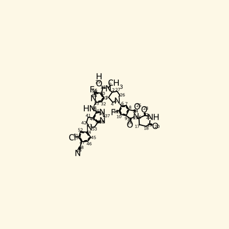 CN(C1CCN(c2cc3c(cc2F)C(=O)N(C2CCC(=O)NC2=O)C3=O)CC1)C(O)c1ccc(Nc2ncnc3c2CCN(c2ccc(C#N)c(Cl)c2)C3)nc1F